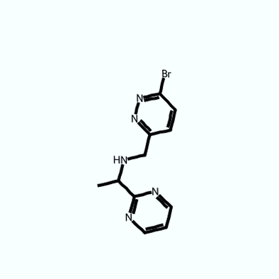 CC(NCc1ccc(Br)nn1)c1ncccn1